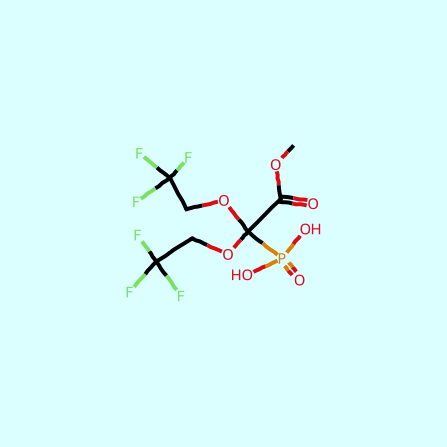 COC(=O)C(OCC(F)(F)F)(OCC(F)(F)F)P(=O)(O)O